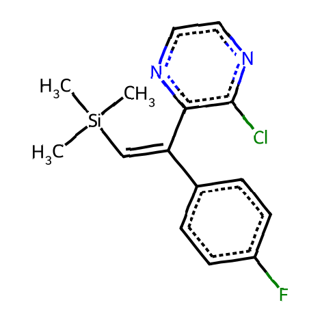 C[Si](C)(C)C=C(c1ccc(F)cc1)c1nccnc1Cl